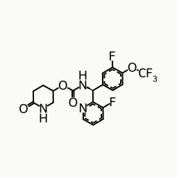 O=C1CCC(OC(=O)N[C@@H](c2ccc(OC(F)(F)F)c(F)c2)c2ncccc2F)CN1